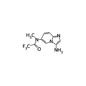 CN(C(=O)C(F)(F)F)c1ccc2ncc(N)n2c1